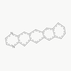 c1ccc2cc3cc4cc5nccnc5cc4cc3cc2c1